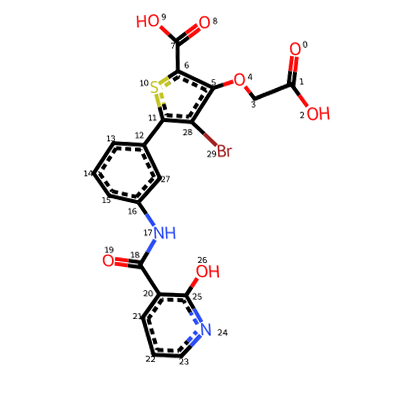 O=C(O)COc1c(C(=O)O)sc(-c2cccc(NC(=O)c3cccnc3O)c2)c1Br